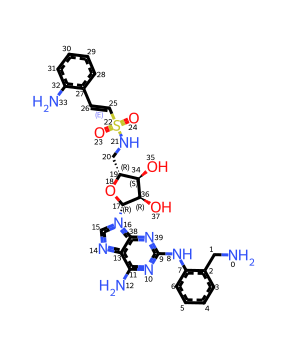 NCc1ccccc1Nc1nc(N)c2ncn([C@@H]3O[C@H](CNS(=O)(=O)/C=C/c4ccccc4N)[C@@H](O)[C@H]3O)c2n1